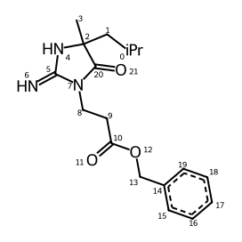 CC(C)CC1(C)NC(=N)N(CCC(=O)OCc2ccccc2)C1=O